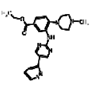 CCOC(=O)c1ccc(N2CCN(C)CC2)c(Nc2ncc(-c3cccnn3)cn2)c1